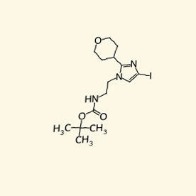 CC(C)(C)OC(=O)NCCn1cc(I)nc1C1CCOCC1